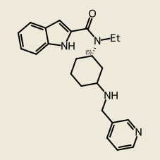 CCN(C(=O)c1cc2ccccc2[nH]1)[C@H]1CCCC(NCc2cccnc2)C1